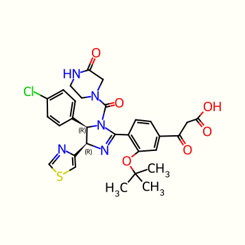 CC(C)(C)Oc1cc(C(=O)CC(=O)O)ccc1C1=N[C@@H](c2cscn2)[C@@H](c2ccc(Cl)cc2)N1C(=O)N1CCNC(=O)C1